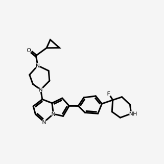 O=C(C1CC1)N1CCN(c2ccnn3cc(-c4ccc(C5(F)CCNCC5)cc4)cc23)CC1